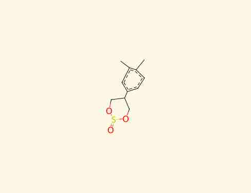 Cc1ccc(C2COS(=O)OC2)cc1C